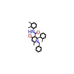 Cc1ccccc1-c1c(C(=O)Nc2cccc(C)c2C)c(=O)cc(C)n1Cc1ccccc1